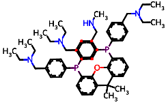 CCN(CC)Cc1ccc(P(c2ccc(CNC)cc2)c2cccc3c2Oc2c(P(c4ccc(CN(CC)CC)cc4)c4ccc(CN(CC)CC)cc4)cccc2C3(C)C)cc1